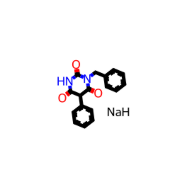 O=C1NC(=O)N(Cc2ccccc2)C(=O)C1c1ccccc1.[NaH]